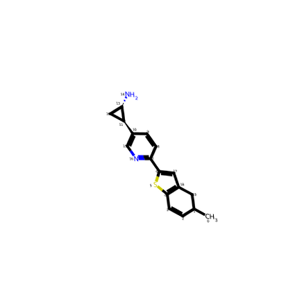 CC1C=Cc2sc(-c3ccc([C@H]4C[C@@H]4N)cn3)cc2C1